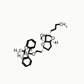 CCCC[C@H]1C[C@]2(CO)O[C@@H](CCO[Si](c3ccccc3)(c3ccccc3)C(C)(C)C)CC[C@@H]2O1